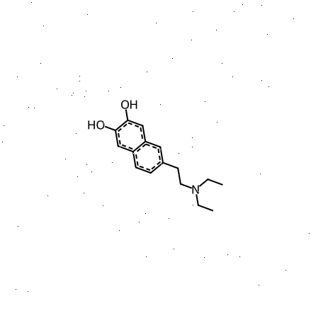 CCN(CC)CCc1ccc2cc(O)c(O)cc2c1